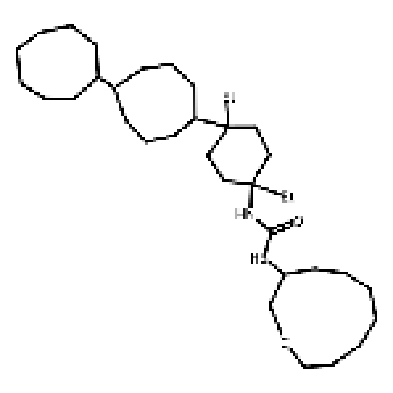 CCC1(NC(=O)BC2CCCCCCCCC2)CCC(CC)(C2CCCC(C3CCCCCCC3)CCC2)CC1